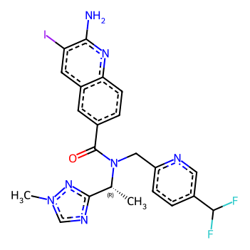 C[C@H](c1ncn(C)n1)N(Cc1ccc(C(F)F)cn1)C(=O)c1ccc2nc(N)c(I)cc2c1